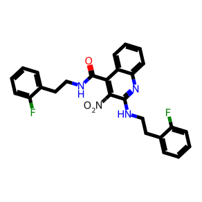 O=C(NCCc1ccccc1F)c1c([N+](=O)[O-])c(NCCc2ccccc2F)nc2ccccc12